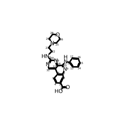 O=C(O)c1ccc2c(c1)nc(Nc1ccccc1)c1nc(NCCN3CCOCC3)ncc12